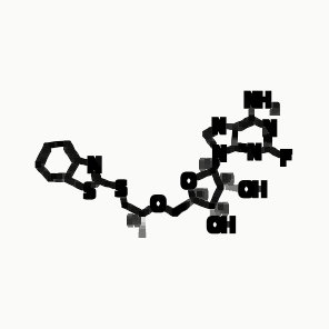 C[C@H](CSc1nc2ccccc2s1)OC[C@H]1O[C@@H](n2cnc3c(N)nc(F)nc32)[C@H](O)[C@@H]1O